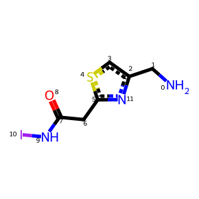 NCc1csc(CC(=O)NI)n1